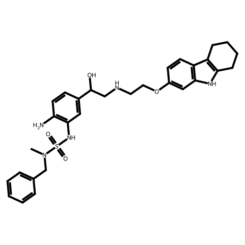 CN(Cc1ccccc1)S(=O)(=O)Nc1cc(C(O)CNCCOc2ccc3c4c([nH]c3c2)CCCC4)ccc1N